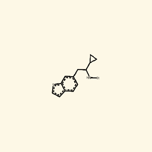 CCNC(Cc1ccc2ccsc2c1)C1CC1